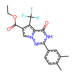 CCOC(=O)c1cn2nc(-c3ccc(C)c(C)c3)[nH]c(=O)c2c1C(F)(F)F